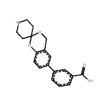 O=C(O)c1cccc(-c2ccc3c(c2)COC2(CCNCC2)O3)c1